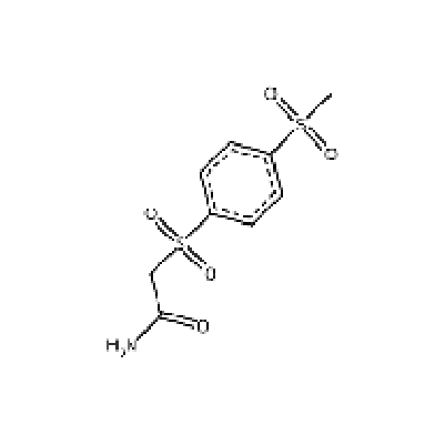 CS(=O)(=O)c1ccc(S(=O)(=O)CC(N)=O)cc1